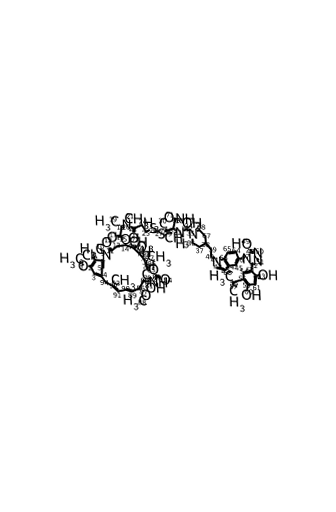 COc1cc2cc(c1Cl)N(C)C(=O)C[C@H](OC(=O)[C@H](C)N(C)C(=O)CCSSC(C)(C)[C@H](NC(O)N1CCC(CCn3ccc4cc(-n5c(O)nnc5-c5cc(C(C)C)c(O)cc5O)ccc43)CC1)C(N)=O)[C@]1(C)O[C@H]1[C@H](C)[C@@H]1C[C@@](O)(NC(=O)O1)[C@H](OC)/C=C/C=C(\C)C2